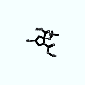 COC(=O)[C@]1(O[SiH](C)C)C[C@H](C(C)(C)C)CN1C(=O)OC(C)(C)C